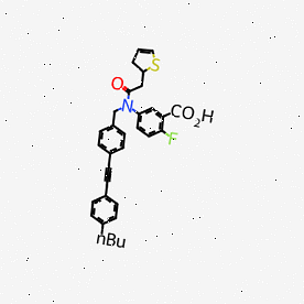 CCCCc1ccc(C#Cc2ccc(CN(C(=O)CC3CC=CS3)c3ccc(F)c(C(=O)O)c3)cc2)cc1